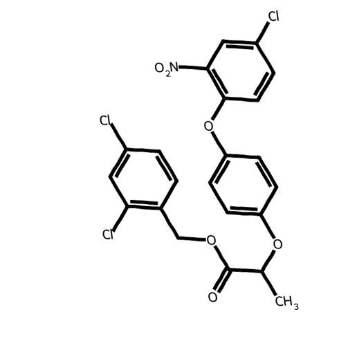 CC(Oc1ccc(Oc2ccc(Cl)cc2[N+](=O)[O-])cc1)C(=O)OCc1ccc(Cl)cc1Cl